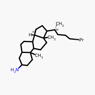 CC(C)CCC[C@@H](C)C1CC[C@H]2C3CCC4CC(N)CCC4(C)C3CCC12C